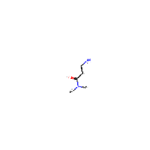 CC(C)N(C(=O)CCN)C(C)C